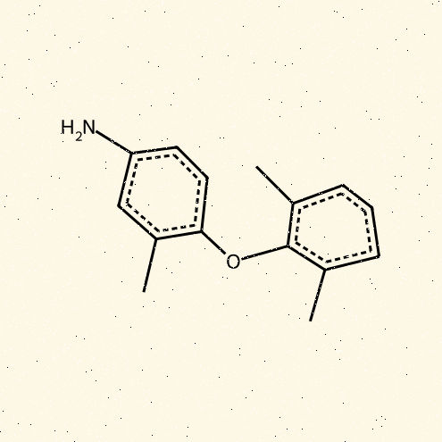 Cc1cc(N)ccc1Oc1c(C)cccc1C